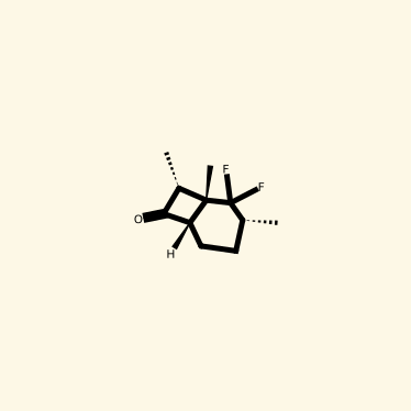 C[C@@H]1CC[C@@H]2C(=O)[C@H](C)[C@]2(C)C1(F)F